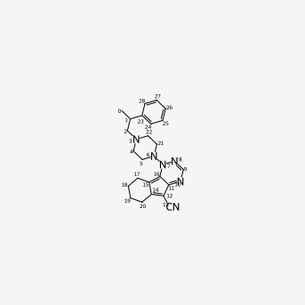 CC(CN1CCN(n2ncnc3c(C#N)c4c(c2-3)CCCC4)CC1)c1ccccc1